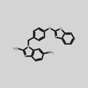 Nc1ccc2nc(N)n(Cc3ccc(Oc4nc5ccccc5o4)cc3)c2c1